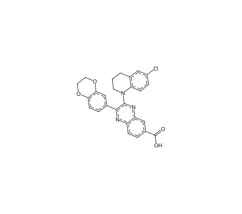 O=C(O)c1ccc2nc(-c3ccc4c(c3)OCCO4)c(N3CCCc4cc(Cl)ccc43)nc2c1